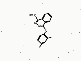 CO/N=C(/C(=O)O)c1ccccc1COc1ccc(C)cc1C